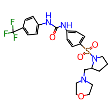 O=C(Nc1ccc(C(F)(F)F)cc1)Nc1ccc(S(=O)(=O)N2CCC[C@H]2CN2CCOCC2)cc1